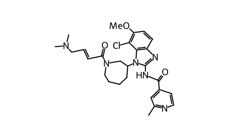 COc1ccc2nc(NC(=O)c3ccnc(C)c3)n(C3CCCCN(C(=O)C=CCN(C)C)C3)c2c1Cl